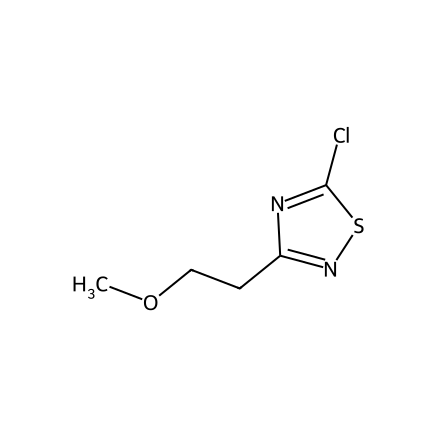 COCCc1nsc(Cl)n1